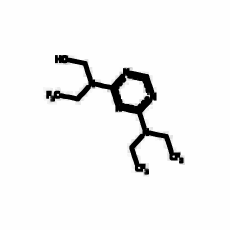 OCN(CC(F)(F)F)c1ncnc(N(CC(F)(F)F)CC(F)(F)F)n1